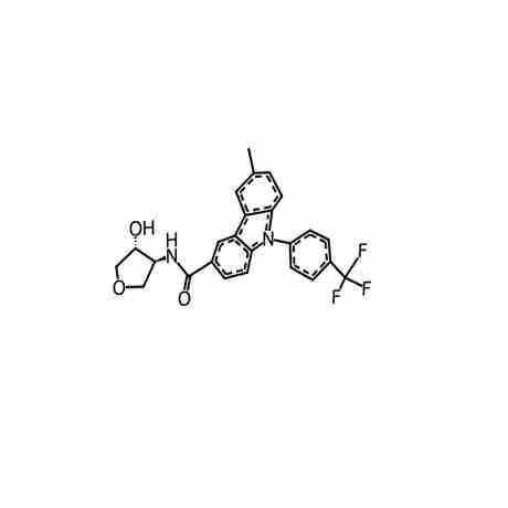 Cc1ccc2c(c1)c1cc(C(=O)N[C@H]3COC[C@@H]3O)ccc1n2-c1ccc(C(F)(F)F)cc1